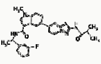 CC(C)C(=O)Nc1nc2cc(-c3ccc4c(c3)c(C(=O)NC(C)c3cccc(F)c3)cn4C)ccn2n1